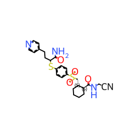 N#CCNC(=O)[C@H]1CCCC[C@@H]1CS(=O)(=O)c1ccc(SC(CCc2ccncc2)C(N)=O)cc1